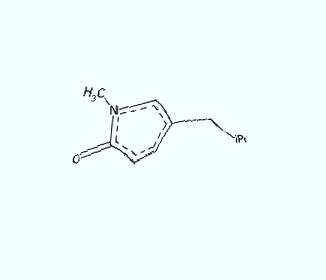 CC(C)Cc1ccc(=O)n(C)c1